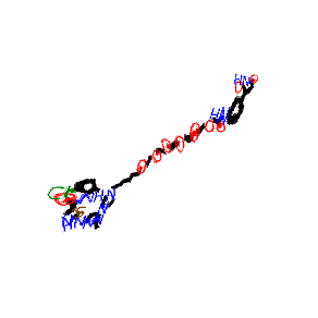 Cc1nc(Nc2ncc(C(=O)Nc3c(C)cccc3Cl)s2)cc(N2CCN(CCCCCCOCCOCCOCCOCCOCCOCC(=O)Nc3cccc(C4CCC(=O)NC4=O)c3)CC2)n1